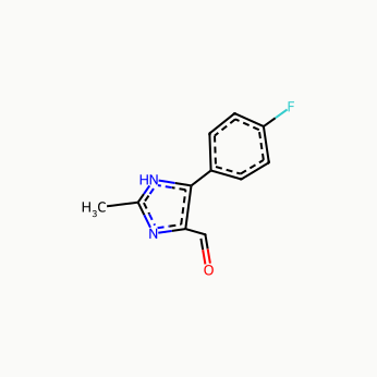 Cc1nc(C=O)c(-c2ccc(F)cc2)[nH]1